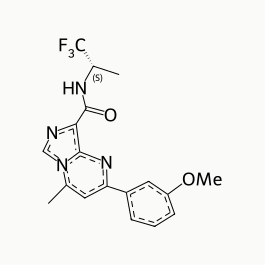 COc1cccc(-c2cc(C)n3cnc(C(=O)N[C@@H](C)C(F)(F)F)c3n2)c1